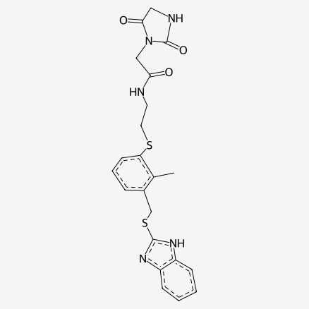 Cc1c(CSc2nc3ccccc3[nH]2)cccc1SCCNC(=O)CN1C(=O)CNC1=O